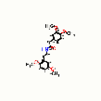 COc1ccc(OC)c(CCNC(=O)Cc2ccc(OC)c(OC)c2)c1